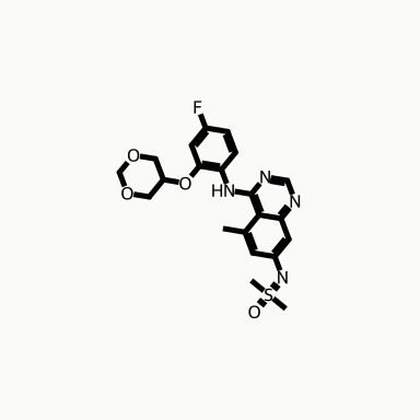 Cc1cc(N=S(C)(C)=O)cc2ncnc(Nc3ccc(F)cc3OC3COCOC3)c12